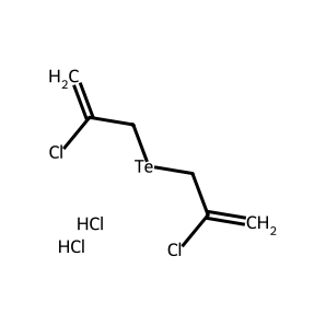 C=C(Cl)C[Te]CC(=C)Cl.Cl.Cl